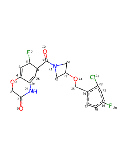 O=C1COC2=CC(F)C(C(=O)N3CC(OCc4ccc(F)cc4Cl)C3)C=C2N1